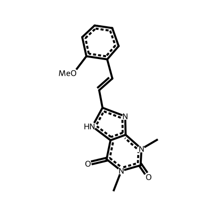 COc1ccccc1/C=C/c1nc2c([nH]1)c(=O)n(C)c(=O)n2C